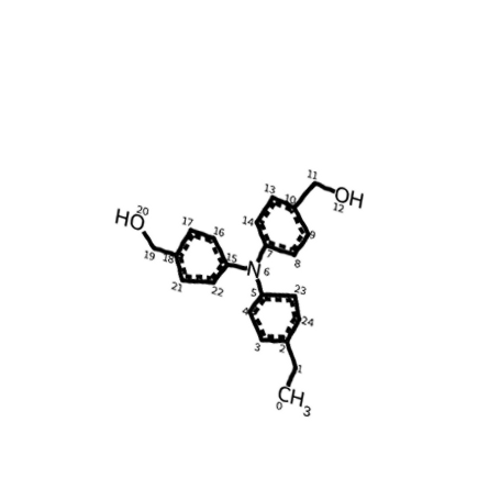 CCc1ccc(N(c2ccc(CO)cc2)c2ccc(CO)cc2)cc1